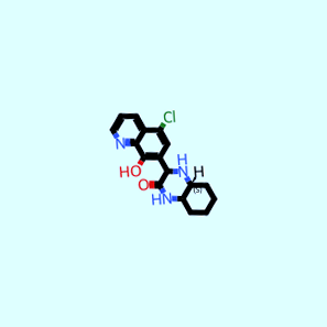 O=C1NC2CCCC[C@@H]2NC1c1cc(Cl)c2cccnc2c1O